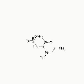 CN(CCN)C(N[SH](=O)=O)C(=O)O